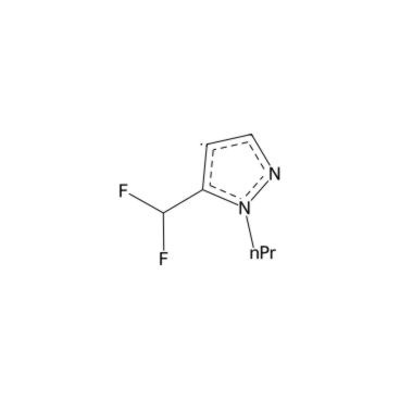 CCCn1nc[c]c1C(F)F